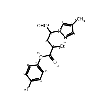 CCC(CC(C=O)n1cc(C)cn1)C(=O)Oc1ccc(F)cc1